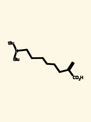 C=C(CCCCCCN(C(C)(C)C)C(C)(C)C)C(=O)O